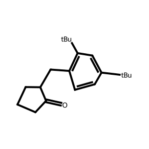 CC(C)(C)c1ccc(CC2CCCC2=O)c(C(C)(C)C)c1